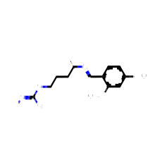 [H]/N=C(\N)NCCC[C@H](N=Cc1ccc(OC)cc1OC)C(=O)O